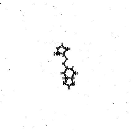 c1c[nH]c(CCc2cnc3ncnn3c2)n1